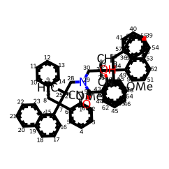 COc1ccccc1C(Cc1ccccc1)(c1cccc2ccccc12)C(C)(C#N)CN(CC(C)(C#N)C(Cc1ccccc1)(c1ccccc1OC)c1cccc2ccccc12)C(=O)c1ccccc1O